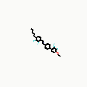 CCCCCc1ccc(/C=C/c2ccc(-c3ccc(OCC)c(F)c3F)cc2)c(F)c1F